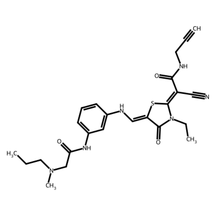 C#CCNC(=O)C(C#N)=c1sc(=CNc2cccc(NC(=O)CN(C)CCC)c2)c(=O)n1CC